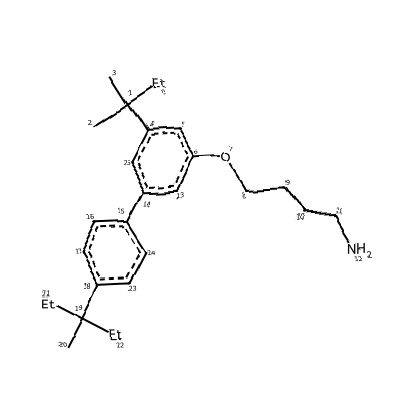 CCC(C)(C)c1cc(OCCCCN)cc(-c2ccc(C(C)(CC)CC)cc2)c1